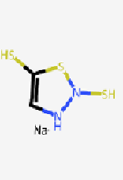 SC1=CNN(S)S1.[Na]